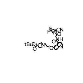 CC(C)(C)OC(=O)N1CCN(CCCOc2ccc3nccc(C(=O)NCC(=O)N4CC(F)(F)C[C@H]4C#N)c3c2)CC1